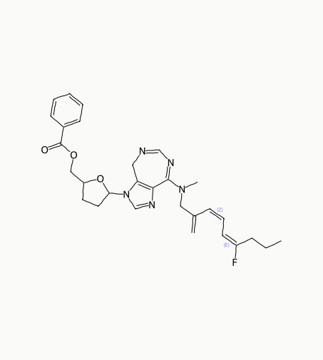 C=C(/C=C\C=C(\F)CCC)CN(C)C1=NC=NCc2c1ncn2C1CCC(COC(=O)c2ccccc2)O1